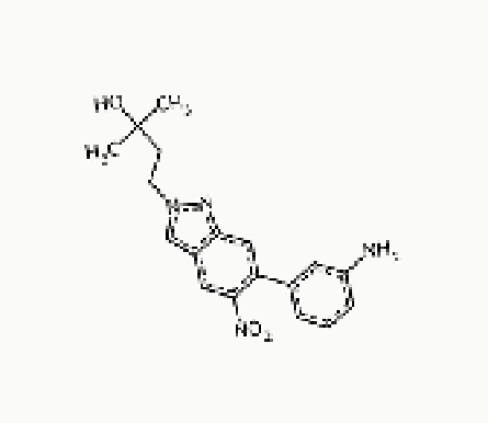 CC(C)(O)CCn1cc2cc([N+](=O)[O-])c(-c3cccc(N)c3)cc2n1